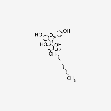 CCCCCCCCCCCC(=O)c1c(O)cc(O)c([C@@H]2C[C@@H](c3ccc(O)cc3)Oc3cc(O)ccc32)c1O